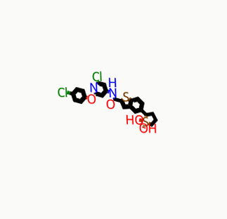 O=C(Nc1cc(Cl)nc(Oc2ccc(Cl)cc2)c1)c1cc2cc(C3CCCS3(O)O)ccc2s1